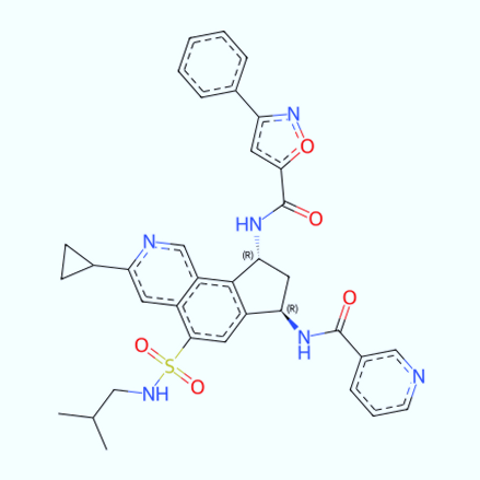 CC(C)CNS(=O)(=O)c1cc2c(c3cnc(C4CC4)cc13)[C@H](NC(=O)c1cc(-c3ccccc3)no1)C[C@H]2NC(=O)c1cccnc1